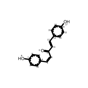 O=C(/C=C\c1ccc(O)cc1)/C=C/c1ccc(O)cc1